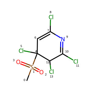 CS(=O)(=O)C1(Cl)C=C(Cl)N=C(Cl)C1Cl